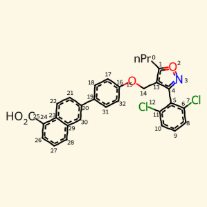 CCCc1onc(-c2c(Cl)cccc2Cl)c1COc1ccc(-c2ccc3c(C(=O)O)cccc3c2)cc1